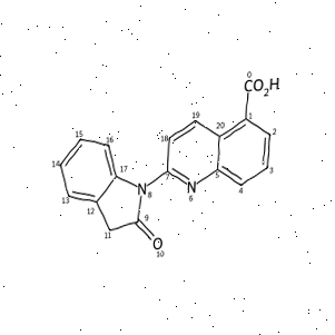 O=C(O)c1cccc2nc(N3C(=O)Cc4ccccc43)ccc12